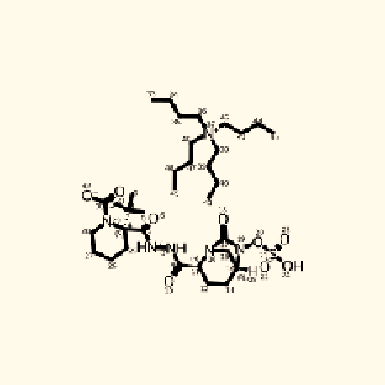 CC(C)(C)[C@]1(C(=O)NNC(=O)[C@@H]2CC[C@@H]3CN2C(=O)N3OS(=O)(=O)O)CCCCN1C(=O)[O-].CCCC[N+](CCCC)(CCCC)CCCC